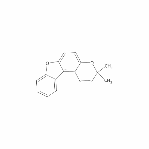 CC1(C)C=Cc2c(ccc3oc4ccccc4c23)O1